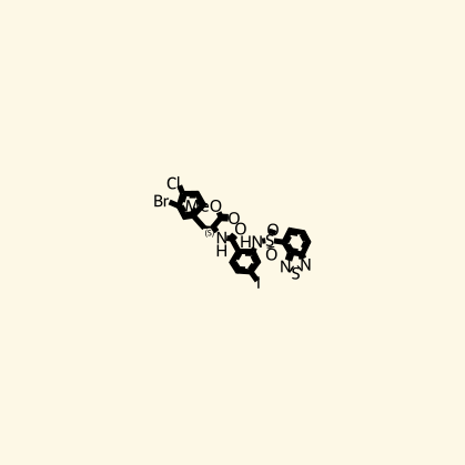 COC(=O)[C@H](Cc1ccc(Cl)c(Br)c1)NC(=O)c1ccc(I)cc1NS(=O)(=O)c1cccc2nsnc12